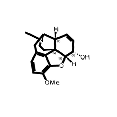 COc1ccc2c3c1O[C@H]1[C@@H](O)C=C[C@H]4C(C2)N(C)CC[C@@]341